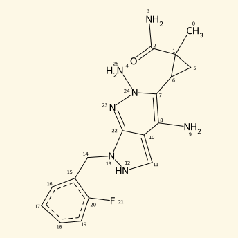 CC1(C(N)=O)CC1C1=C(N)C2=CNN(Cc3ccccc3F)C2=NN1N